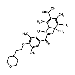 COC1C(C)=C(C(=O)O)C(C)=C(C)C1(C)C=CC(=O)c1cc(C)c(OCCN2CCOCC2)c(C)c1